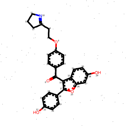 O=C(c1ccc(OCCC2=NCCC2)cc1)c1c(-c2ccc(O)cc2)oc2cc(O)ccc12